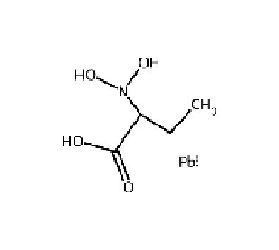 CCC(C(=O)O)N(O)O.[Pb]